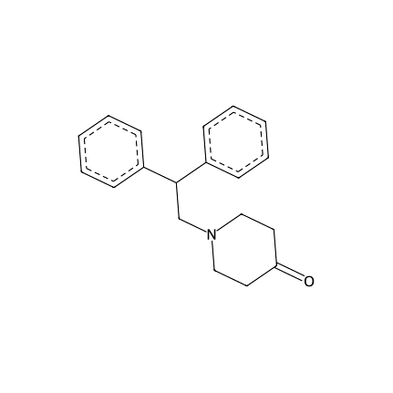 O=C1CCN(CC(c2ccccc2)c2ccccc2)CC1